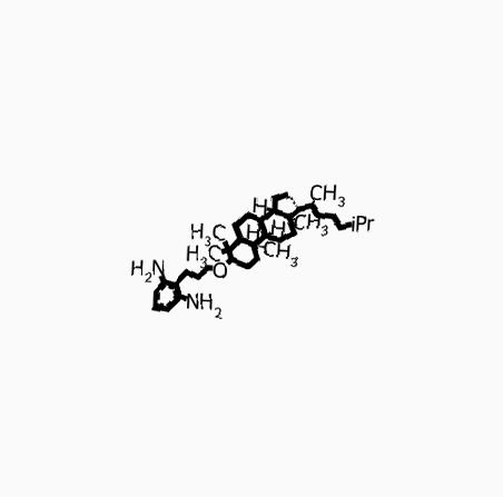 CC(C)CCC[C@@H](C)[C@H]1CC[C@H]2[C@@H]3CCC4C(C)(C)C(OCCCc5c(N)cccc5N)CC[C@]4(C)[C@H]3CC[C@]12C